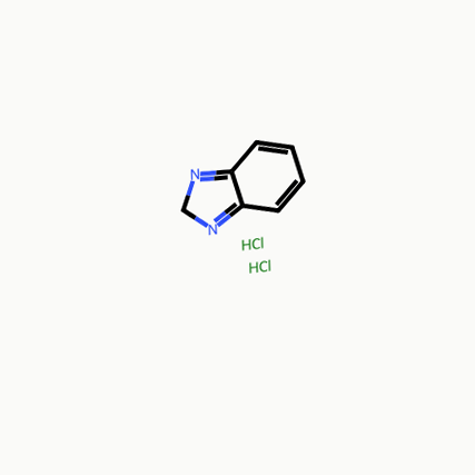 Cl.Cl.c1ccc2c(c1)=NCN=2